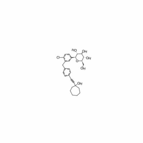 OC[C@H]1O[C@@H](c2ccc(Cl)c(Cc3ccc(C#CC4(O)CCCCCC4)cc3)c2)[C@H](O)[C@@H](O)[C@@H]1O